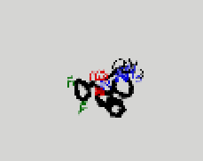 C[C@H](N)C(=O)N(C(=O)[C@H](O)c1cc(F)cc(F)c1)[C@@]1(c2ccccc2)CN(C)CCC[C@@H]1c1ccccc1